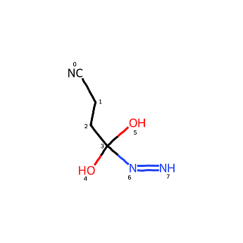 N#CCCC(O)(O)N=N